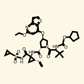 C=C[C@@H]1C[C@]1(NC(=O)[C@@H]1C[C@@H](Oc2cc(OCC)nc3ccsc23)CN1C(=O)[C@@H](NC(=O)OC1CCCC1)C(C)(C)C)C(=O)NS(=O)(=O)C1CC1